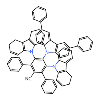 N#Cc1c(-c2ccccc2)c(-n2c3c(c4c2C=CCC4)CCC=C3)c(-n2c3ccc(-c4ccccc4)cc3c3cc(-c4ccccc4)ccc32)c(-n2c3c(c4ccccc42)CCC=C3)c1-c1ccccc1